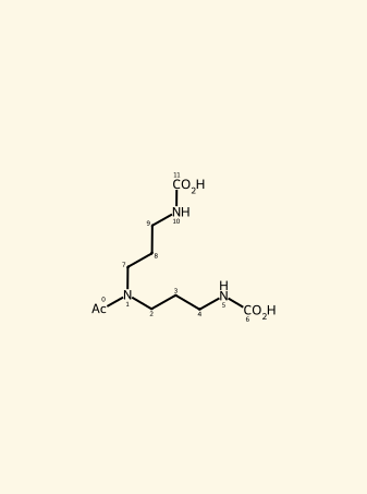 CC(=O)N(CCCNC(=O)O)CCCNC(=O)O